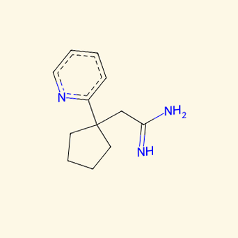 N=C(N)CC1(c2ccccn2)CCCC1